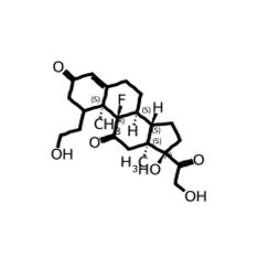 C[C@]12CC(=O)[C@@]3(F)[C@@H](CCC4=CC(=O)CC(CCO)[C@@]43C)[C@@H]1CC[C@]2(O)C(=O)CO